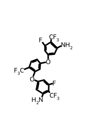 Nc1cc(Oc2ccc(C(F)(F)F)c(Oc3cc(N)c(C(F)(F)F)c(F)c3)c2)cc(F)c1C(F)(F)F